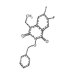 CCn1c(=O)n(OCc2ccccc2)c(=O)c2cc(F)c(F)cc21